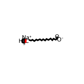 CCCCCCCCCCCCCCCCCC(=O)[O-].[Na+].c1cc2ccc1cc2